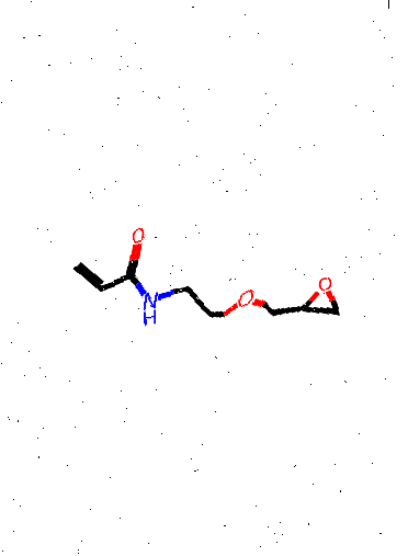 C=CC(=O)NCCOCC1CO1